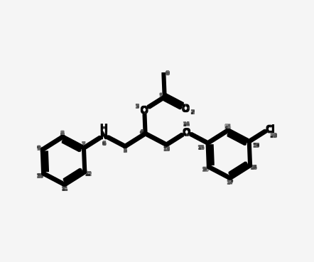 CC(=O)OC(CNc1ccccc1)COc1cccc(Cl)c1